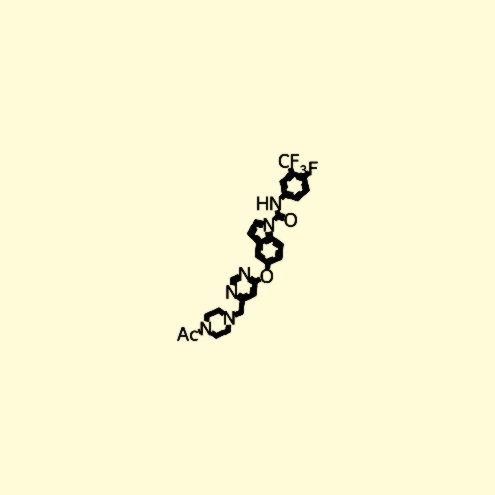 CC(=O)N1CCN(Cc2cc(Oc3ccc4c(ccn4C(=O)Nc4ccc(F)c(C(F)(F)F)c4)c3)ncn2)CC1